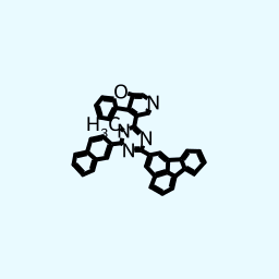 CN1C(c2cncc3oc4ccccc4c23)=NC(c2cc3c4c(cccc4c2)-c2ccccc2-3)=NC1c1ccc2ccccc2c1